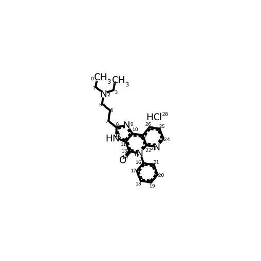 CCN(CC)CCCc1nc2c([nH]1)c(=O)n(-c1ccccc1)c1ncccc21.Cl